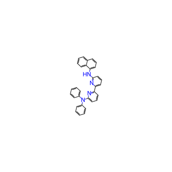 c1ccc(N(c2ccccc2)c2cccc(-c3cccc(Nc4cccc5ccccc45)n3)n2)cc1